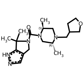 C[C@@H]1CN(C(=O)N2Cc3cn[nH]c3C2(C)C)[C@@H](C)CN1CC1CCOC1